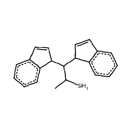 CC([SiH3])C(C1C=Cc2ccccc21)C1C=Cc2ccccc21